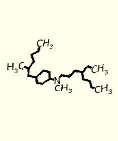 CCCCC(C)CC1CCC(N(C)CCCC(CC)CCCC)CC1